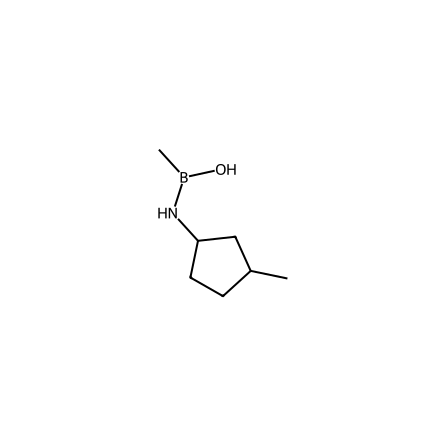 CB(O)NC1CCC(C)C1